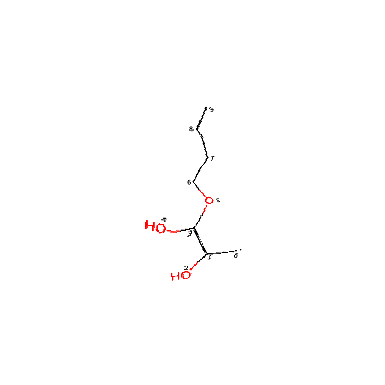 [CH2]C(O)C(O)OCCCC